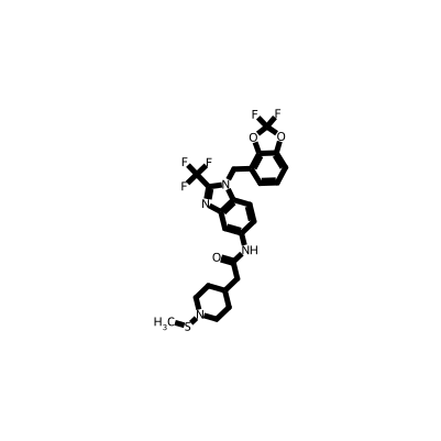 CSN1CCC(CC(=O)Nc2ccc3c(c2)nc(C(F)(F)F)n3Cc2cccc3c2OC(F)(F)O3)CC1